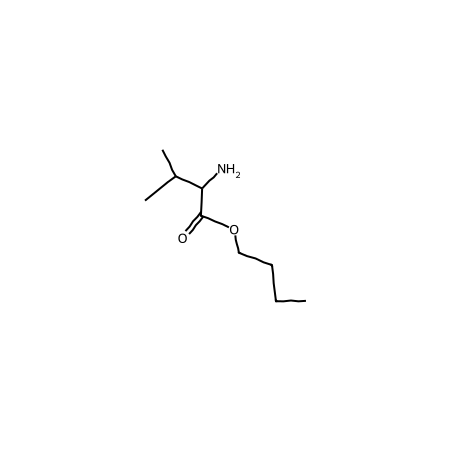 CCCCOC(=O)C(N)C(C)C